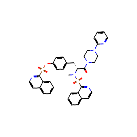 CN([C@@H](Cc1ccc(OS(=O)(=O)c2nccc3ccccc23)cc1)C(=O)N1CCN(c2ccccn2)CC1)S(=O)(=O)c1nccc2ccccc12